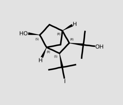 CC(C)(O)[C@@H]1[C@@H]2C[C@H]([C@@H]1C(C)(C)I)[C@@H](O)C2